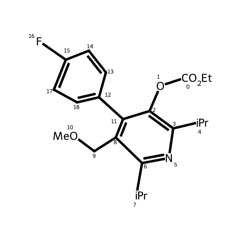 CCOC(=O)Oc1c(C(C)C)nc(C(C)C)c(COC)c1-c1ccc(F)cc1